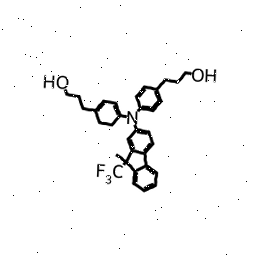 CC1(C(F)(F)F)c2ccccc2-c2ccc(N(C3=C=C=C(CCCO)C=C3)C3=CC=C(CCCO)CC3)cc21